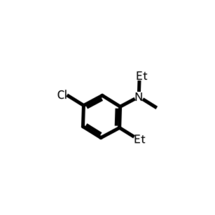 CCc1ccc(Cl)cc1N(C)CC